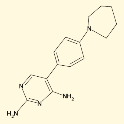 Nc1ncc(-c2ccc(N3CCCCC3)cc2)c(N)n1